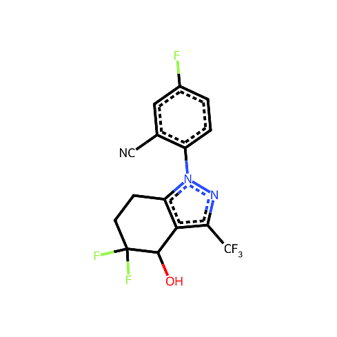 N#Cc1cc(F)ccc1-n1nc(C(F)(F)F)c2c1CCC(F)(F)C2O